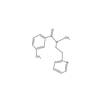 Cc1cccc(C(=O)N(C)CCc2ccccn2)c1